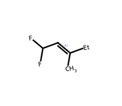 CC/C(C)=C/C(F)F